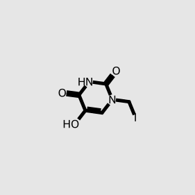 O=c1[nH]c(=O)n(CI)cc1O